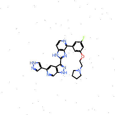 Fc1cc(OCCN2CCCC2)cc(-c2nccc3[nH]c(-c4n[nH]c5cnc(-c6cn[nH]c6)cc45)nc23)c1